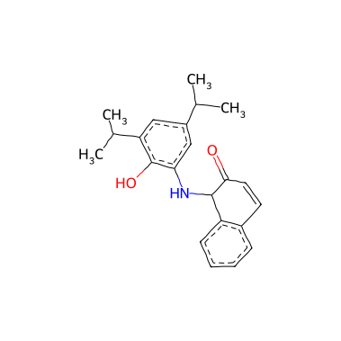 CC(C)c1cc(NC2C(=O)C=Cc3ccccc32)c(O)c(C(C)C)c1